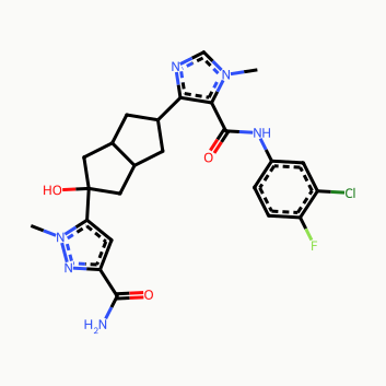 Cn1cnc(C2CC3CC(O)(c4cc(C(N)=O)nn4C)CC3C2)c1C(=O)Nc1ccc(F)c(Cl)c1